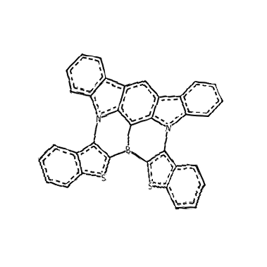 c1ccc2c3c(sc2c1)B1c2sc4ccccc4c2-n2c4ccccc4c4cc5c6ccccc6n-3c5c1c42